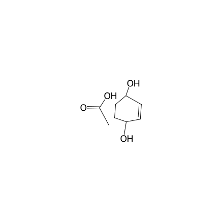 CC(=O)O.OC1C=CC(O)CC1